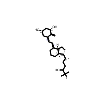 C=C1/C(=C\C=C2/CCC[C@]3(C)[C@@H]([C@H](C)CCC(O)C(C)(C)F)CC[C@@H]23)C[C@@H](O)C[C@@H]1O